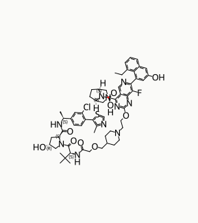 CCc1cccc2cc(O)cc(-c3ncc4c(N5C[C@H]6CC[C@@H](C5)N6C(=O)O)nc(OCCN5CCC(COCC(=O)N[C@H](C(=O)N6C[C@H](O)C[C@H]6C(=O)N[C@@H](C)c6ccc(-c7scnc7C)c(Cl)c6)C(C)(C)C)CC5)nc4c3F)c12